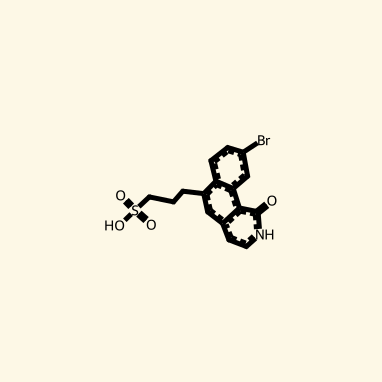 O=c1[nH]ccc2cc(CCCS(=O)(=O)O)c3ccc(Br)cc3c12